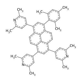 Cc1cc(C)c(-c2cc(-c3cc(C)nc(C)c3)c3ccc4c(-c5cc(C)nc(C)c5)cc(-c5cc(C)nc(C)c5)c5ccc2c3c45)c(C)c1